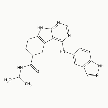 CC(C)NC(=O)C1CCc2[nH]c3ncnc(Nc4ccc5[nH]ncc5c4)c3c2C1